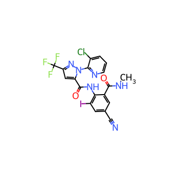 CNC(=O)c1cc(C#N)cc(I)c1NC(=O)c1cc(C(F)(F)F)nn1-c1ncccc1Cl